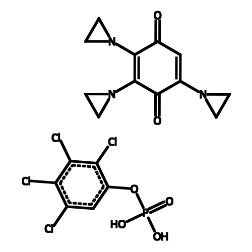 O=C1C=C(N2CC2)C(=O)C(N2CC2)=C1N1CC1.O=P(O)(O)Oc1cc(Cl)c(Cl)c(Cl)c1Cl